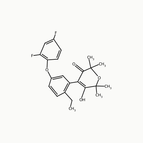 CCc1ccc(Oc2ccc(F)cc2F)cc1C1=C(O)C(C)(C)OC(C)(C)C1=O